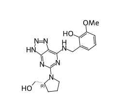 COc1cccc(CNc2nc(N3CCC[C@@H]3CO)nc3[nH]nnc23)c1O